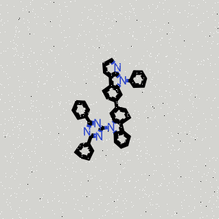 c1ccc(-c2nc(-c3ccccc3)nc(-n3c4ccccc4c4ccc(-c5ccc6c7cccnc7n(-c7ccccc7)c6c5)cc43)n2)cc1